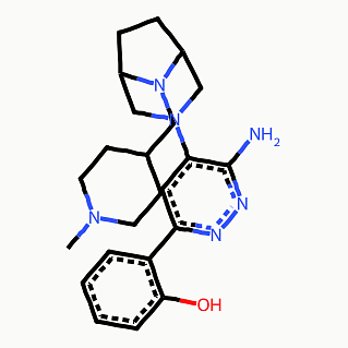 CN1CCC(CN2C3CCC2CN(c2cc(-c4ccccc4O)nnc2N)C3)CC1